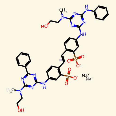 CN(CCO)c1nc(Nc2ccccc2)nc(Nc2ccc(/C=C/c3ccc(Nc4nc(-c5ccccc5)nc(N(C)CCO)n4)cc3S(=O)(=O)[O-])c(S(=O)(=O)[O-])c2)n1.[Na+].[Na+]